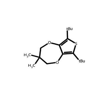 CC1(C)COc2c(C(C)(C)C)sc(C(C)(C)C)c2OC1